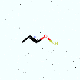 C/C=C/OS